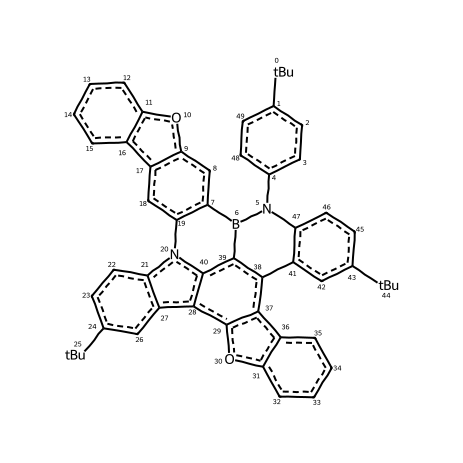 CC(C)(C)c1ccc(N2B3c4cc5oc6ccccc6c5cc4-n4c5ccc(C(C)(C)C)cc5c5c6oc7ccccc7c6c(c3c54)-c3cc(C(C)(C)C)ccc32)cc1